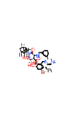 CC(C)C[C@@H](CN(C)C)N(Cc1cccc(CN2O[C@@H](CO)[C@@H]([C@H](C)O)[C@H]2C(=O)N[C@H]2C[C@H]3C[C@@H]([C@@H]2C)C3(C)C)c1)Cc1cc(Br)ccc1O